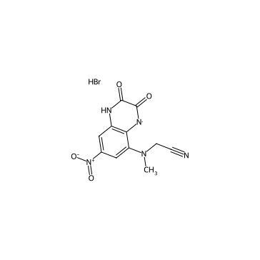 Br.CN(CC#N)c1cc([N+](=O)[O-])cc2c1[N]C(=O)C(=O)N2